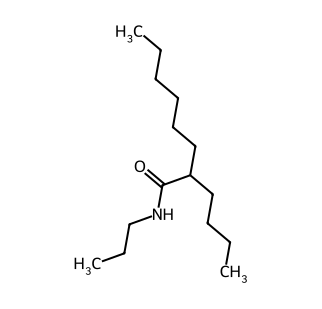 CCCCCCC(CCCC)C(=O)NCCC